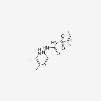 C/C=C(/C)S(=O)(=O)NC(=O)NN1C=NC(C)=C(C)N1